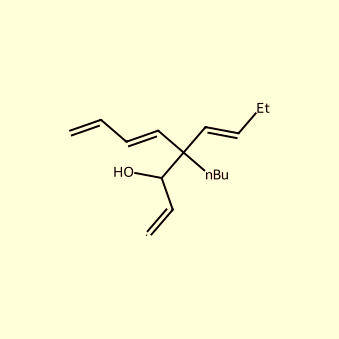 [CH]=CC(O)C(C=CC=C)(C=CCC)CCCC